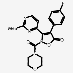 CSc1nccc(-c2c(-c3ccc(F)cc3)c(=O)on2C(=O)N2CCOCC2)n1